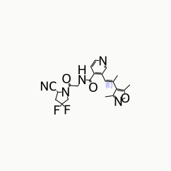 C/C(=C\c1cnccc1C(=O)NCC(=O)N1CC(F)(F)CC1C#N)c1c(C)noc1C